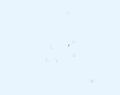 C[C@@H](NC(=O)C1CCNCC1)c1nnc(Cc2ccccc2)n1Cc1ccc(Cl)c(Cl)c1